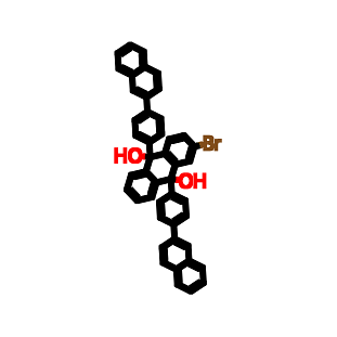 OC1(c2ccc(-c3ccc4ccccc4c3)cc2)c2ccccc2C(O)(c2ccc(-c3ccc4ccccc4c3)cc2)c2cc(Br)ccc21